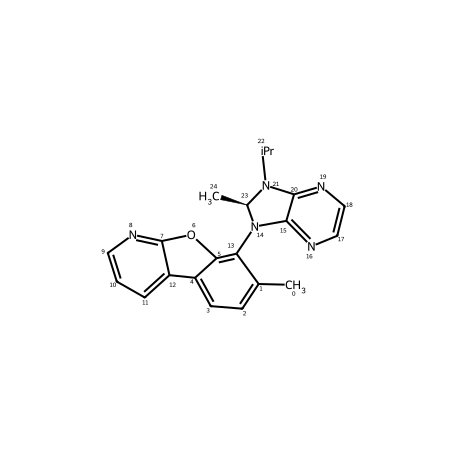 Cc1ccc2c(oc3ncccc32)c1N1c2nccnc2N(C(C)C)[C@@H]1C